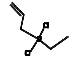 C=CC[Si](Cl)(Cl)CC